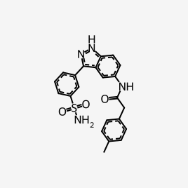 Cc1ccc(CC(=O)Nc2ccc3[nH]nc(-c4cccc(S(N)(=O)=O)c4)c3c2)cc1